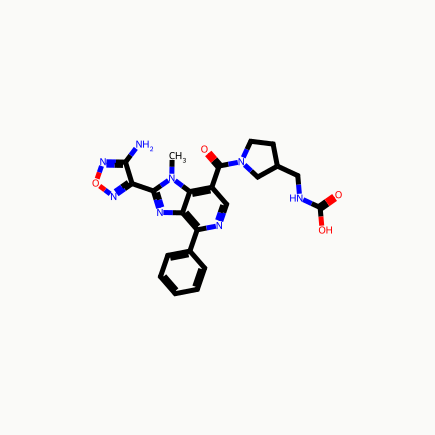 Cn1c(-c2nonc2N)nc2c(-c3ccccc3)ncc(C(=O)N3CCC(CNC(=O)O)C3)c21